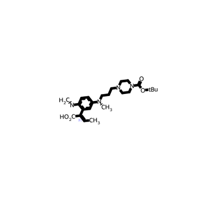 C=Nc1ccc(N(C)CCCN2CCN(C(=O)OC(C)(C)C)CC2)cc1/C(=C\C)C(=O)O